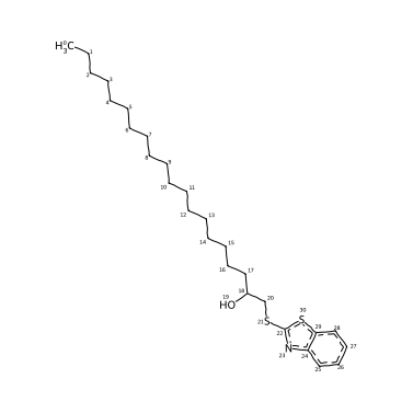 CCCCCCCCCCCCCCCCCCC(O)CSc1nc2ccccc2s1